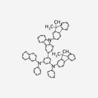 CC1(C)c2ccccc2-c2ccc(N(c3ccccc3)c3cc(-c4ccc5c(c4)c4ccccc4n5-c4ccc5c(c4)C(C)(C)c4ccccc4-5)cc(N(c4ccccc4)c4ccc5ccccc5c4)c3)cc21